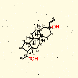 C=C[C@]1(O)CC[C@H]2[C@H](CC[C@@H]3[C@@H]2CC[C@]2(C)C(C(C)O)CC[C@@H]32)C1